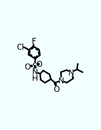 CC(C)N1CCN(C(=O)C2CCC(NS(=O)(=O)c3ccc(F)c(Cl)c3)CC2)CC1